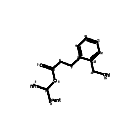 CCCCCC(CCC)OC(=O)CCc1ccccc1CO